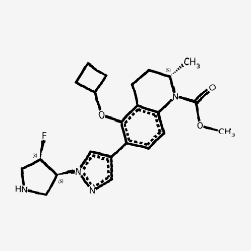 COC(=O)N1c2ccc(-c3cnn([C@H]4CNC[C@H]4F)c3)c(OC3CCC3)c2CC[C@@H]1C